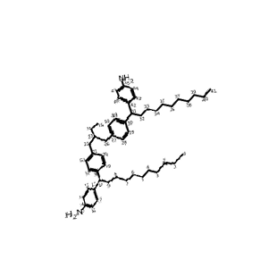 CCCCCCCCCCC(c1ccc(N)cc1)c1ccc(CC(CC)Cc2ccc(C(CCCCCCCCCC)c3ccc(N)cc3)cc2)cc1